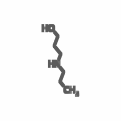 CCCNCCCO